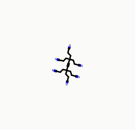 N#CCCC(C#CC(CCC#N)(CCC#N)CCC#N)(CCC#N)CCC#N